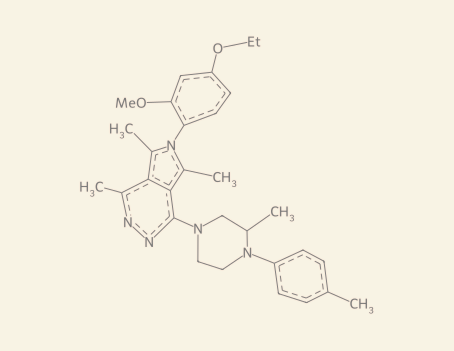 CCOc1ccc(-n2c(C)c3c(C)nnc(N4CCN(c5ccc(C)cc5)C(C)C4)c3c2C)c(OC)c1